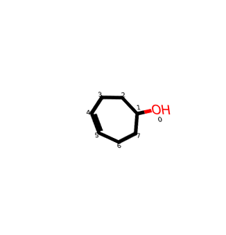 OC1CCC=CCC1